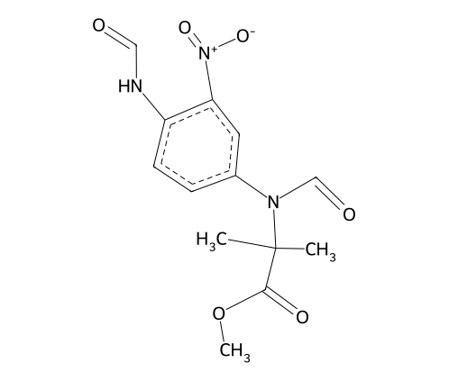 COC(=O)C(C)(C)N(C=O)c1ccc(NC=O)c([N+](=O)[O-])c1